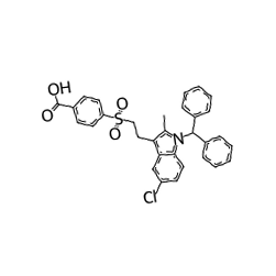 Cc1c(CCS(=O)(=O)c2ccc(C(=O)O)cc2)c2cc(Cl)ccc2n1C(c1ccccc1)c1ccccc1